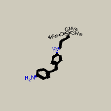 CO[Si](CCCNc1ccc(Cc2ccc(N)cc2)cc1)(OC)OC